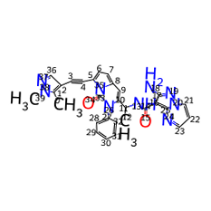 Cc1c(C#Cc2ccc3cc(C(C)NC(=O)c4c(N)nn5cccnc45)n(-c4ccccc4)c(=O)n23)cnn1C